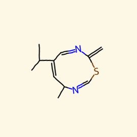 C=C1/N=C\C(C(C)C)=C/C(C)/N=C\S1